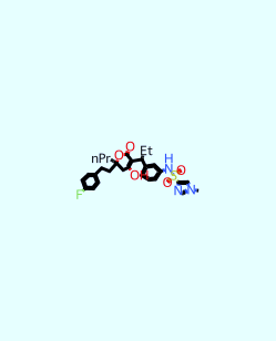 CCCC1(CCc2ccc(F)cc2)CC(O)=C(C(CC)c2cccc(NS(=O)(=O)c3cn(C)cn3)c2)C(=O)O1